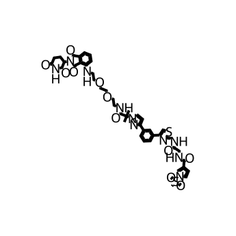 CC(C)(C(=O)NCCOCCOCCNc1cccc2c1C(=O)N(C1CCC(=O)NC1=O)C2=O)n1ccc(-c2cccc(-c3csc(NC(=O)CNC(=O)c4ccn(S(C)(=O)=O)c4)n3)c2)n1